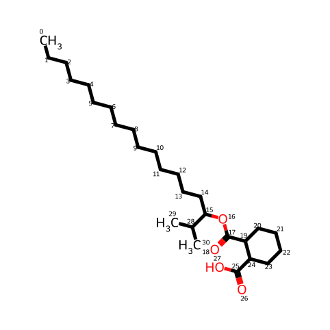 CCCCCCCCCCCCCCCC(OC(=O)C1CCCCC1C(=O)O)C(C)C